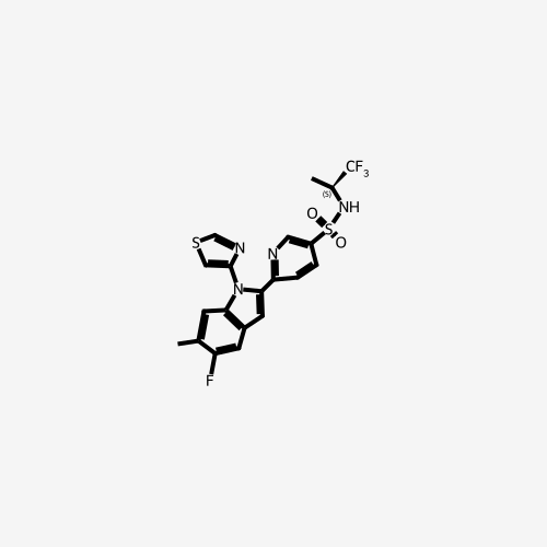 Cc1cc2c(cc1F)cc(-c1ccc(S(=O)(=O)N[C@@H](C)C(F)(F)F)cn1)n2-c1cscn1